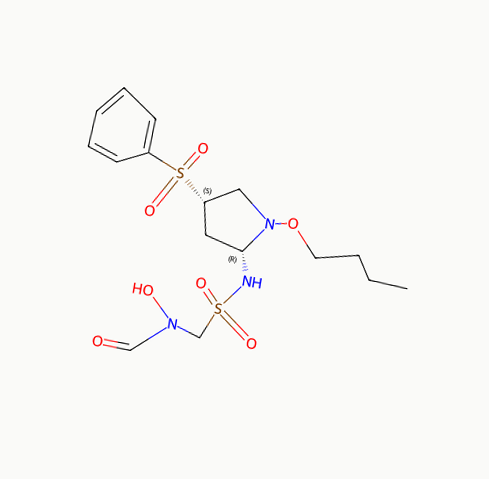 CCCCON1C[C@@H](S(=O)(=O)c2ccccc2)C[C@H]1NS(=O)(=O)CN(O)C=O